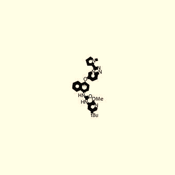 COc1ncc(C(C)(C)C)cc1NC(=O)N[C@H]1CC[C@@H](Oc2ccc3nnc(C4CCCN4C)n3c2)c2ccccc21